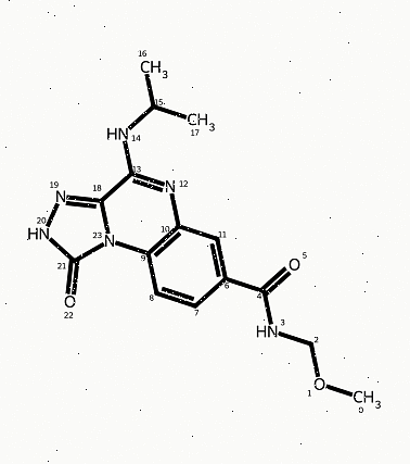 COCNC(=O)c1ccc2c(c1)nc(NC(C)C)c1n[nH]c(=O)n12